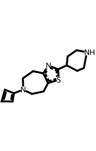 C1=CC(N2CCc3nc(C4CCNCC4)sc3CC2)=C1